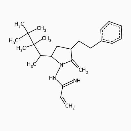 C=CC(=N)NN1C(=C)C(CCc2ccccc2)CC1C(C)C(C)(C)C(C)(C)C